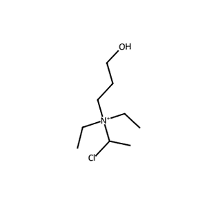 CC[N+](CC)(CCCO)C(C)Cl